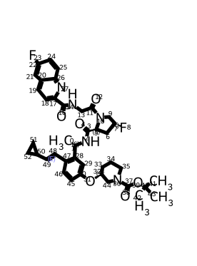 C[C@H](NC(=O)[C@@H]1C[C@@H](F)CN1C(=O)CNC(=O)c1ccc2cc(F)ccc2n1)c1cc(O[C@H]2CCCN(C(=O)OC(C)(C)C)C2)ccc1/C=C/C1CC1